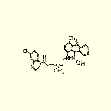 Cc1ccc(NCCN(C)CCNc2ccnc3cc(Cl)ccc23)c2c(=NO)c3ccccc3sc12